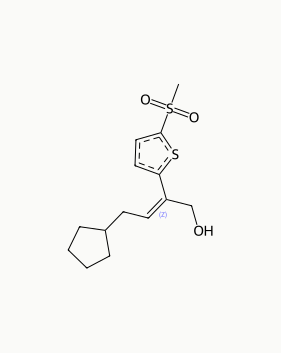 CS(=O)(=O)c1ccc(/C(=C\CC2CCCC2)CO)s1